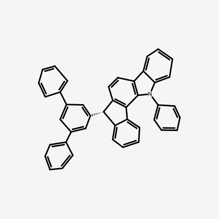 c1ccc(-c2cc(-c3ccccc3)cc([C@H]3c4ccccc4-c4c3ccc3c5ccccc5n(-c5ccccc5)c43)c2)cc1